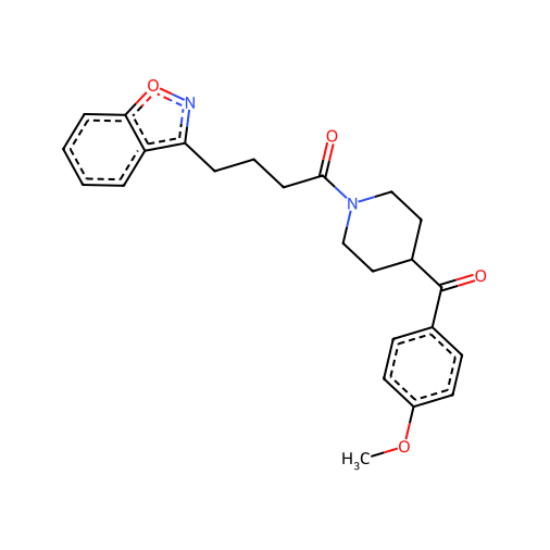 COc1ccc(C(=O)C2CCN(C(=O)CCCc3noc4ccccc34)CC2)cc1